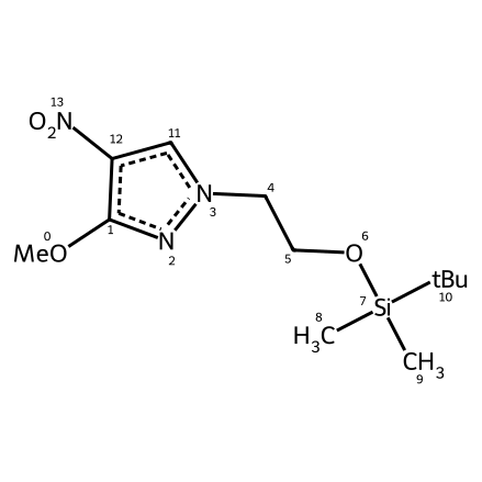 COc1nn(CCO[Si](C)(C)C(C)(C)C)cc1[N+](=O)[O-]